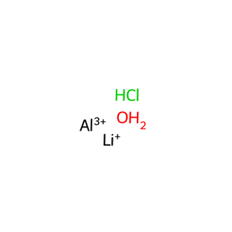 Cl.O.[Al+3].[Li+]